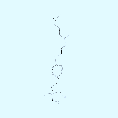 CC[C@@](N)(CO)CCc1ccc(OCCCC(C)CCCC(C)C)cc1